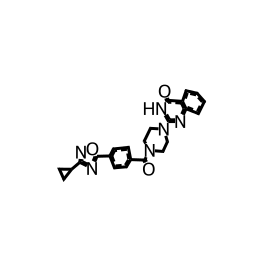 O=C(c1ccc(-c2nc(C3CC3)no2)cc1)N1CCN(c2nc3ccccc3c(=O)[nH]2)CC1